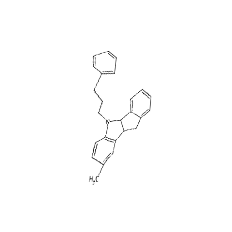 Cc1ccc2c(c1)C1Cc3ccccc3C1N2CCCc1ccccc1